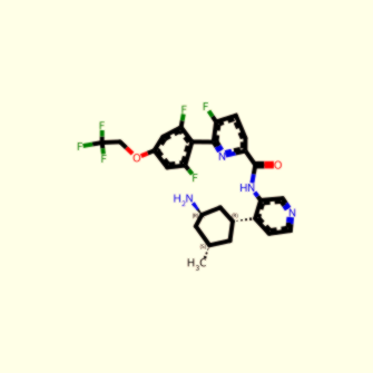 C[C@@H]1C[C@@H](N)C[C@H](c2ccncc2NC(=O)c2ccc(F)c(-c3c(F)cc(OCC(F)(F)F)cc3F)n2)C1